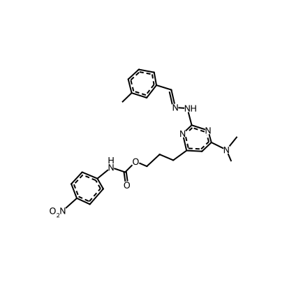 Cc1cccc(C=NNc2nc(CCCOC(=O)Nc3ccc([N+](=O)[O-])cc3)cc(N(C)C)n2)c1